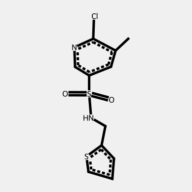 Cc1cc(S(=O)(=O)NCc2cccs2)cnc1Cl